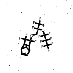 FC(F)(F)C(F)(COC1(F)C2C3C=CC(C3)C2C1(F)F)OC(F)(F)C(F)(F)C(F)(F)F